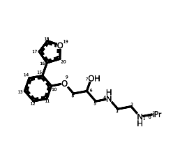 CC(C)NCCNCC(O)COc1ccccc1-c1ccoc1